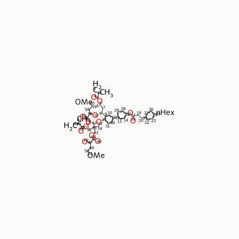 C=C(C)C(=O)OCCCc1cc(-c2ccc(OC(=O)CCc3ccc(CCCCCC)cc3)cc2)ccc1OCC(COC(=O)C(=C)C)(COC(=O)C(=O)CCOC)COC(=O)C(=O)CCOC